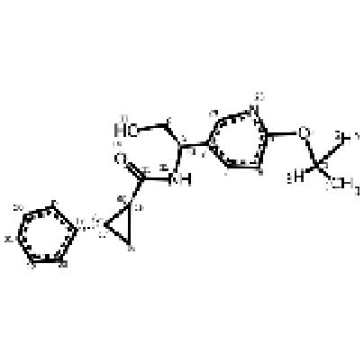 [2H]C([2H])(C)Oc1ccc([C@H](CO)NC(=O)[C@H]2C[C@@H]2c2ccccc2)cn1